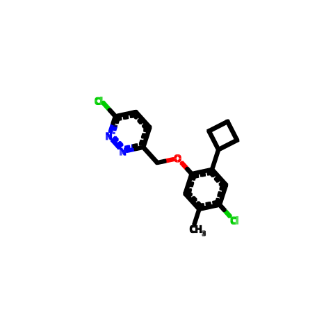 Cc1cc(OCc2ccc(Cl)nn2)c(C2CCC2)cc1Cl